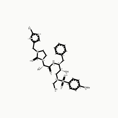 CCc1nc(CN2CCN([C@H](C(=O)N[C@@H](Cc3ccccc3)[C@H](O)CN(CC(C)C)S(=O)(=O)c3ccc(OC)cc3)C(C)C)C2=O)cs1